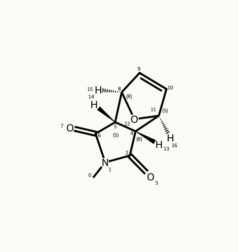 CN1C(=O)[C@@H]2[C@H](C1=O)[C@H]1C=C[C@@H]2O1